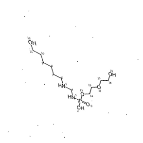 O=P(O)(NCNCCCCCCO)OCCOCCO